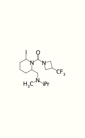 CC(C)N(C)CC1CCCC(I)N1C(=O)N1CC(C(F)(F)F)C1